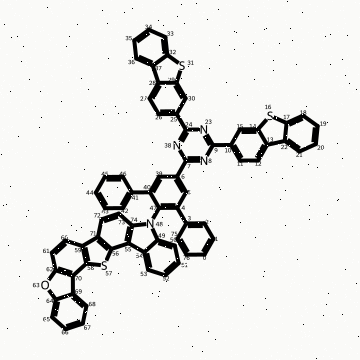 c1ccc(-c2cc(-c3nc(-c4ccc5c(c4)sc4ccccc45)nc(-c4ccc5c(c4)sc4ccccc45)n3)cc(-c3ccccc3)c2-n2c3ccccc3c3c4sc5c(ccc6oc7ccccc7c65)c4ccc32)cc1